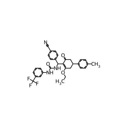 CCOC1=C(C(NC(=O)Nc2cccc(C(F)(F)F)c2)c2ccc(C#N)cc2)C(=O)CC(c2ccc(C)cc2)C1